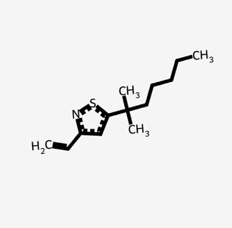 C=Cc1cc(C(C)(C)CCCCC)sn1